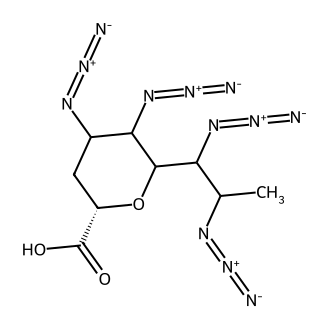 CC(N=[N+]=[N-])C(N=[N+]=[N-])C1O[C@H](C(=O)O)CC(N=[N+]=[N-])C1N=[N+]=[N-]